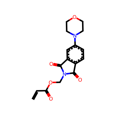 C=CC(=O)OCN1C(=O)c2ccc(N3CCOCC3)cc2C1=O